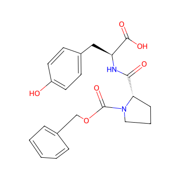 O=C(O)[C@H](Cc1ccc(O)cc1)NC(=O)[C@@H]1CCCN1C(=O)OCc1ccccc1